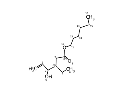 C=CC(O)N(CC)CC(=O)OCCCCCC